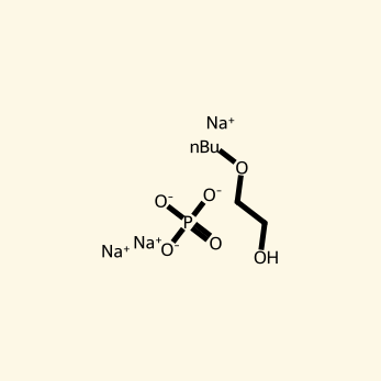 CCCCOCCO.O=P([O-])([O-])[O-].[Na+].[Na+].[Na+]